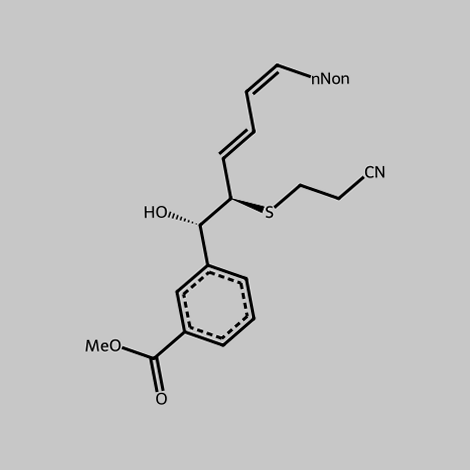 CCCCCCCCC/C=C\C=C\[C@@H](SCCC#N)[C@@H](O)c1cccc(C(=O)OC)c1